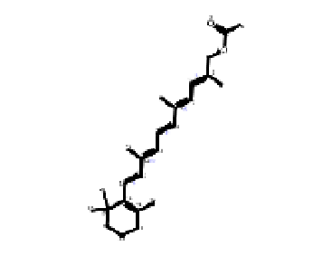 CC(=O)OC/C(C)=C/C=C(C)/C=C/C=C(C)/C=C/C1=C(C)CCCC1(C)C